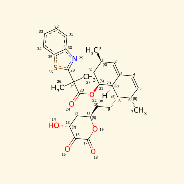 C[C@H]1C=C2C=C[C@H](C)[C@H](CC[C@@H]3C[C@@H](O)C(=O)C(=O)O3)[C@H]2[C@@H](OC(=O)C(C)(C)c2nc3ccccc3s2)C1